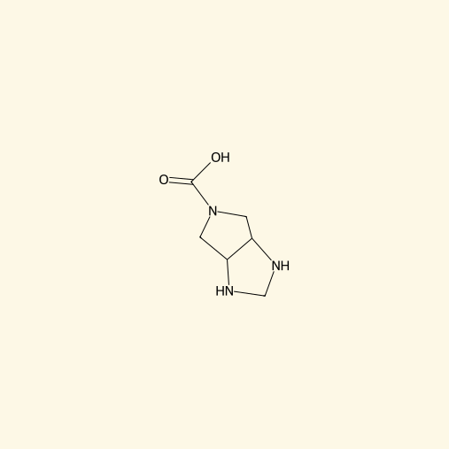 O=C(O)N1CC2NCNC2C1